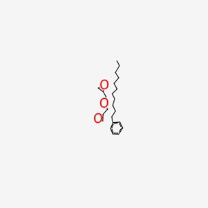 C(OCC1CO1)C1CO1.CCCCCCCCCCCc1ccccc1